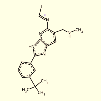 CNCc1cc2nc(-c3cccc(C(C)(C)C)c3)[nH]c2nc1/N=C/I